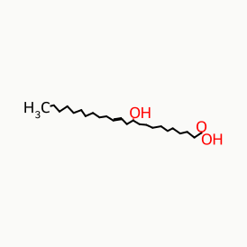 CCCCCCCCCCC=CCC(O)CCCCCCCCCC(=O)O